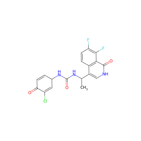 CC(NC(=O)NC1C=CC(=O)C(Cl)=C1)c1c[nH]c(=O)c2c(F)c(F)ccc12